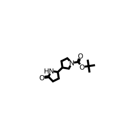 CC(C)(C)OC(=O)N1CCC(C2CCC(=O)N2)C1